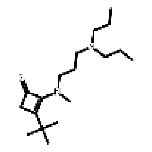 CCCN(CCC)CCCN(C)C1=C(C(C)(C)C)CC1=S